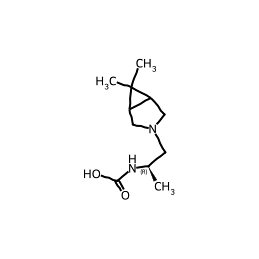 C[C@H](CN1CC2C(C1)C2(C)C)NC(=O)O